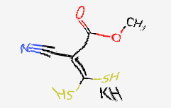 COC(=O)C(C#N)=C(S)S.[KH]